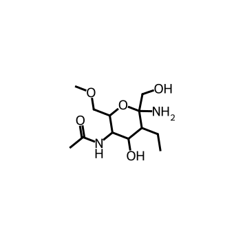 CCC1C(O)C(NC(C)=O)C(COC)OC1(N)CO